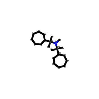 CN([Si](C)(C)C1CCCCCC1)[Si](C)(C)C1CCCCCC1